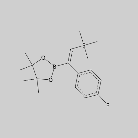 CC1(C)OB(/C(=C/S(C)(C)C)c2ccc(F)cc2)OC1(C)C